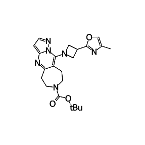 Cc1coc(C2CN(c3c4c(nc5ccnn35)CCN(C(=O)OC(C)(C)C)CC4)C2)n1